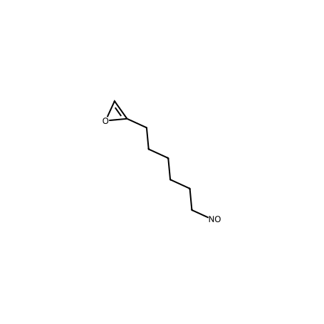 O=NCCCCCCC1=CO1